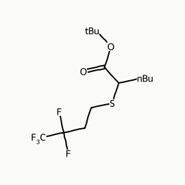 CCCCC(SCCC(F)(F)C(F)(F)F)C(=O)OC(C)(C)C